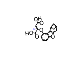 O=C(O)/C=C(\Oc1cccc2oc3cc4cc(c3c12)C4)C(=O)O